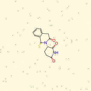 O=C1CC[C@H](N2C(=O)Cc3ccccc3C2=S)C(=O)N1